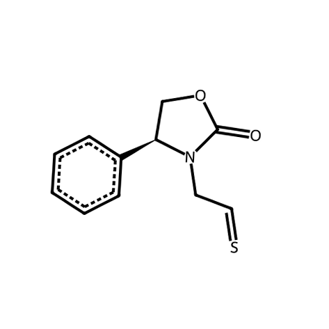 O=C1OC[C@H](c2ccccc2)N1CC=S